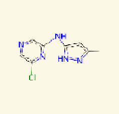 Cc1cc(Nc2cncc(Cl)n2)[nH]n1